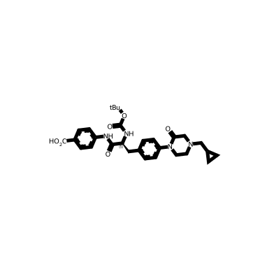 CC(C)(C)OC(=O)N[C@@H](Cc1ccc(N2CCN(CC3CC3)CC2=O)cc1)C(=O)Nc1ccc(C(=O)O)cc1